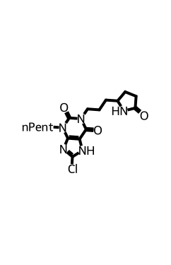 CCCCCn1c(=O)n(CCCC2CCC(=O)N2)c(=O)c2[nH]c(Cl)nc21